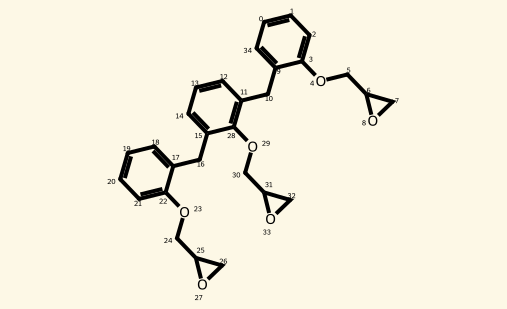 c1ccc(OCC2CO2)c(Cc2cccc(Cc3ccccc3OCC3CO3)c2OCC2CO2)c1